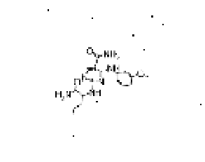 CCCC(Nc1ncc(C(N)=O)c(Nc2cccc(OC)c2)n1)C(N)=O